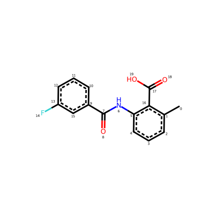 Cc1cccc(NC(=O)c2cccc(F)c2)c1C(=O)O